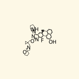 C#Cc1cccc2cc(O)cc(-c3c(F)cc4c(N5CC6CCC(C5)N6)nc(OCC5(CN6CC7(CCCO7)C6)CC5)nc4c3F)c12